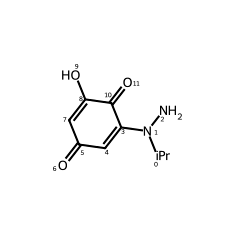 CC(C)N(N)C1=CC(=O)C=C(O)C1=O